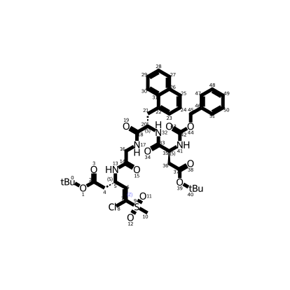 CC(C)(C)OC(=O)C[C@@H](/C=C(\Cl)S(C)(=O)=O)NC(=O)CNC(=O)[C@H](Cc1cccc2ccccc12)NC(=O)[C@H](CC(=O)OC(C)(C)C)NC(=O)OCc1ccccc1